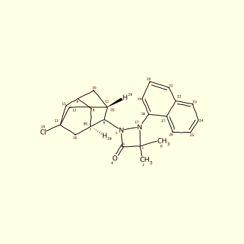 CC1(C)C(=O)N(C2[C@@H]3CC4C[C@H]2CC(Cl)(C4)C3)N1c1cccc2ccccc12